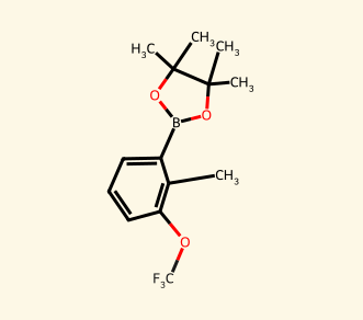 Cc1c(OC(F)(F)F)cccc1B1OC(C)(C)C(C)(C)O1